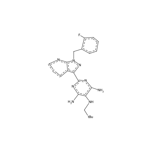 CC(C)(C)CNc1c(N)nc(-c2nn(Cc3ccccc3F)c3ncccc23)nc1N